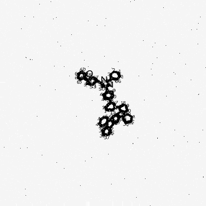 C1=CCCC(c2nc(-c3ccc(C4=CC=CC(C5=CCCC6=C5c5cc7c(cc5C65CCCCC5)-c5ccccc5C75CCCCC5)C4)cc3)cc(-c3ccc4c(c3)oc3ccccc34)n2)=C1